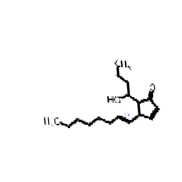 CCCCCC/C=C/C1C=CC(=O)C1C(O)CCC